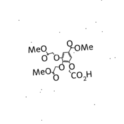 COC(=O)COc1cc(C(=O)OC)cc(OCC(=O)O)c1OCC(=O)OC